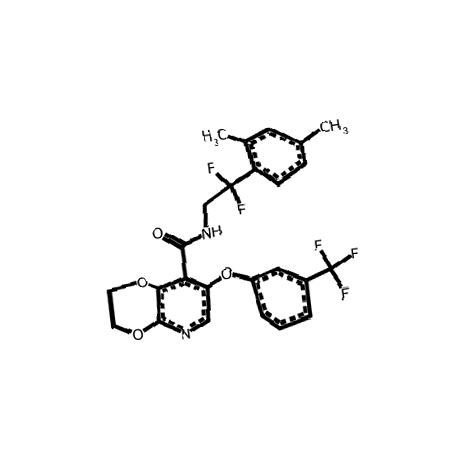 Cc1ccc(C(F)(F)CNC(=O)c2c(Oc3cccc(C(F)(F)F)c3)cnc3c2OCCO3)c(C)c1